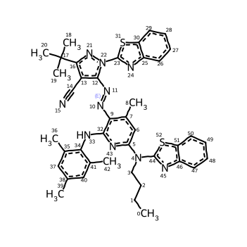 CCCCN(c1cc(C)c(/N=N/c2c(C#N)c(C(C)(C)C)nn2-c2nc3ccccc3s2)c(Nc2c(C)cc(C)cc2C)n1)c1nc2ccccc2s1